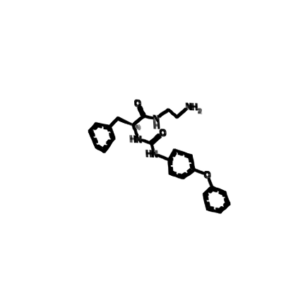 NCCNC(=O)[C@H](Cc1ccccc1)NC(=O)Nc1ccc(Oc2ccccc2)cc1